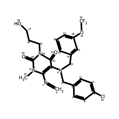 C=Nc1c(N(Cc2ccc(Cl)cc2)Cc2cccc(OC(F)(F)F)c2)c(=O)n(CCCO)c(=O)n1C